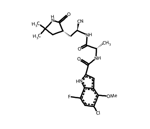 COc1c(Cl)cc(F)c2[nH]c(C(=O)N[C@@H](C)C(=O)N[C@H](C#N)C[C@@H]3CC(C)(C)NC3=O)cc12